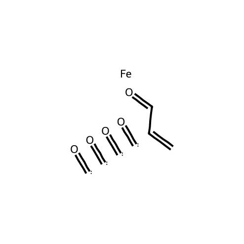 C=CC=O.[C]=O.[C]=O.[C]=O.[C]=O.[Fe]